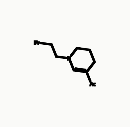 CC(=O)C1=CN(CCC(C)C)CCC1